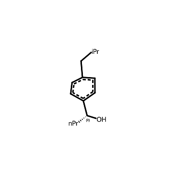 CCC[C@@H](O)c1ccc(CC(C)C)cc1